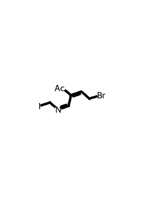 CC(=O)C(/C=N\CI)=C/CBr